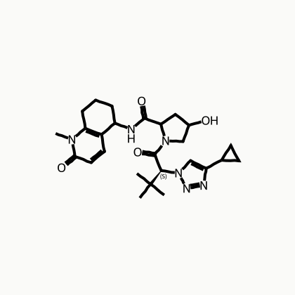 Cn1c2c(ccc1=O)C(NC(=O)C1CC(O)CN1C(=O)[C@@H](n1cc(C3CC3)nn1)C(C)(C)C)CCC2